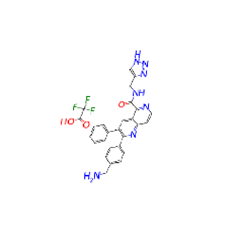 NCc1ccc(-c2nc3ccnc(C(=O)NCc4c[nH]nn4)c3cc2-c2ccccc2)cc1.O=C(O)C(F)(F)F